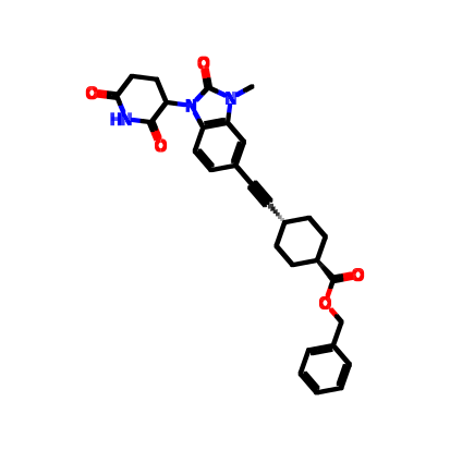 Cn1c(=O)n(C2CCC(=O)NC2=O)c2ccc(C#C[C@H]3CC[C@H](C(=O)OCc4ccccc4)CC3)cc21